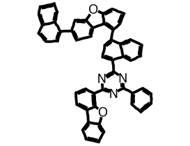 c1ccc(-c2nc(-c3ccc(-c4cccc5oc6cc(-c7cccc8ccccc78)ccc6c45)c4ccccc34)nc(-c3cccc4c3oc3ccccc34)n2)cc1